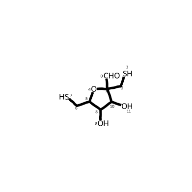 O=CC1(CS)OC(CS)C(O)C1O